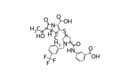 C[C@@H](O)[C@H]1C(=O)N2C(C(=O)O)=C(S[C@H]3C[C@@H](C(=O)Nc4cccc(C(=O)O)c4)N(Cc4cccc(C(F)(F)F)c4)C3)[C@H](C)[C@H]12